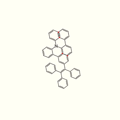 c1ccc(C(=C(c2ccccc2)c2cccc(-c3ccccc3N(c3ccccc3)c3ccccc3-c3ccccc3)c2)c2ccccc2)cc1